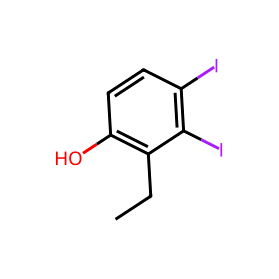 CCc1c(O)ccc(I)c1I